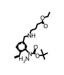 C=Cc1ccc(CNCCCC(=O)OCC)cc1N(N)C(=O)OC(C)(C)C